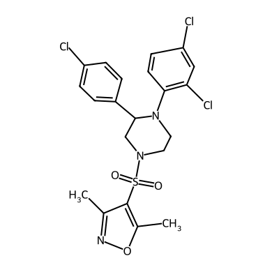 Cc1noc(C)c1S(=O)(=O)N1CCN(c2ccc(Cl)cc2Cl)C(c2ccc(Cl)cc2)C1